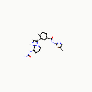 Cc1cnc(NC(=O)c2ccc(C)c(-c3cnc4c(NC(N)=O)cccn34)c2)s1